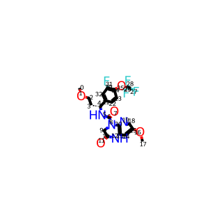 COCC[C@@H](NC(=O)N1CC(=O)Nc2cc(OC)cnc21)c1ccc(OC(F)(F)F)c(F)c1